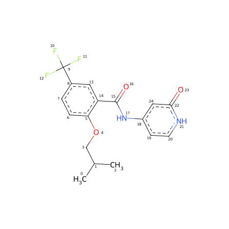 CC(C)COc1ccc(C(F)(F)F)cc1C(=O)Nc1cc[nH]c(=O)c1